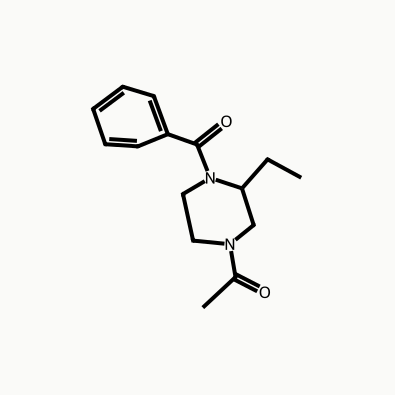 CCC1CN(C(C)=O)CCN1C(=O)c1ccccc1